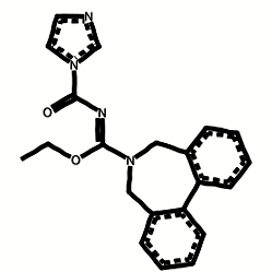 CCOC(=NC(=O)n1ccnc1)N1Cc2ccccc2-c2ccccc2C1